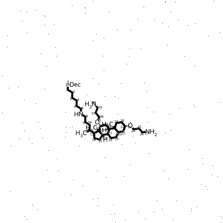 CCCCCCCCCCCCCCCCNCCCC(C)C1CC[C@H]2C3CCC4C[C@H](OCCCN)CCC4(C)[C@H]3C[C@H](OCCCN)C12C